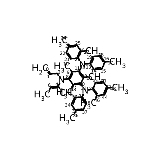 C=CCN(/C(C)=C/C)c1c(C)c(N(c2ccc(C)cc2)c2ccc(C)cc2C)c(C)c(N(c2ccc(C)cc2)c2ccc(C)cc2C)c1C